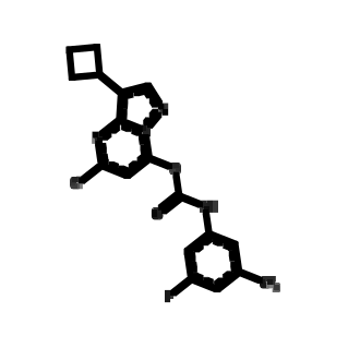 O=C(Nc1cc(F)cc(C(F)(F)F)c1)Oc1cc(Cl)nc2c(C3CCC3)cnn12